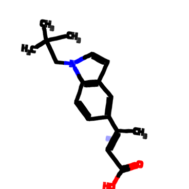 C/C(=C\C(=O)O)c1ccc2c(ccn2CC(C)(C)C)c1